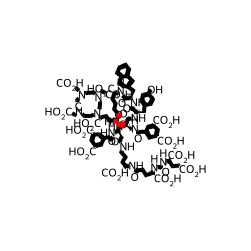 O=C(O)CC[C@H](NC(=O)N[C@@H](CCC(=O)N[C@@H](CCCNC(=O)C[C@@H](NC(=O)c1cc(C(=O)O)cc(C(=O)O)c1)C(=O)NCCCC[C@@H](NC(=O)[C@@H](Cc1ccc2ccccc2c1)NC(=O)[C@@H](Cc1ccc(O)cc1)NC(=O)[C@@H](CNC(=O)c1cc(C(=O)O)cc(C(=O)O)c1)NC(=O)CCC(C(=O)O)N1CCN(CC(=O)O)CCN(CC(=O)O)CCN(CC(=O)O)CC1)C(=O)O)C(=O)O)C(=O)O)C(=O)O